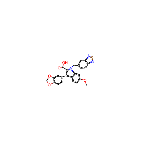 COc1ccc2c(-c3ccc4c(c3)OCO4)c(C(=O)O)n(Cc3ccc4nsnc4c3)c2c1